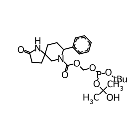 CC(C)(C)OP(OCOC(=O)N1CC2(CCC(=O)N2)CCC1c1ccccc1)OC(C)(C)O